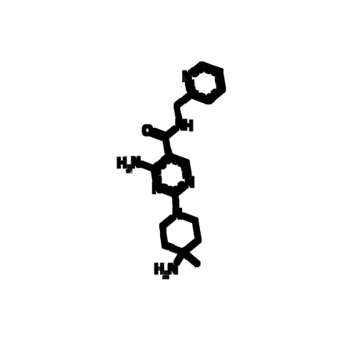 CC1(N)CCN(c2ncc(C(=O)NCc3ccccn3)c(N)n2)CC1